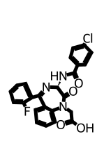 O=C(O)CN1C(=O)[C@@H](NC(=O)c2ccc(Cl)cc2)N=C(c2ccccc2F)c2ccccc21